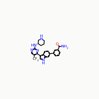 NC(=O)c1cccc(-c2ccc3c(-c4nc(N[C@H]5CCCNC5)ncc4C(F)(F)F)c[nH]c3c2)c1